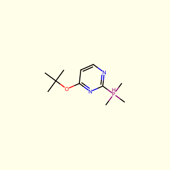 CC(C)(C)Oc1ccnc([PH](C)(C)C)n1